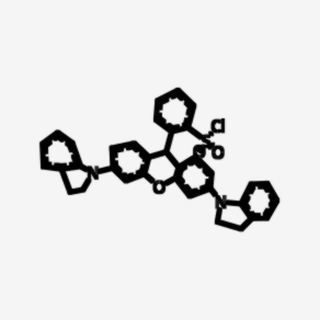 O=S(=O)(Cl)c1ccccc1C1c2ccc(N3CCc4ccccc43)cc2Oc2cc(N3CCc4ccccc43)ccc21